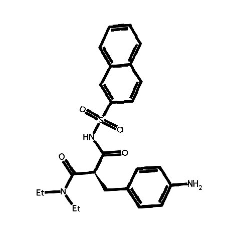 CCN(CC)C(=O)[C@H](Cc1ccc(N)cc1)C(=O)NS(=O)(=O)c1ccc2ccccc2c1